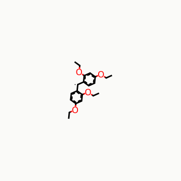 CCOc1ccc([CH]c2ccc(OCC)cc2OCC)c(OCC)c1